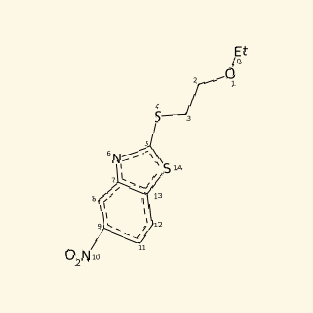 CCOCCSc1nc2cc([N+](=O)[O-])ccc2s1